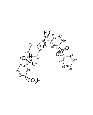 O=C(O)c1cccc(S(=O)(=O)N2CCC(CS(=O)(=O)c3cc(S(=O)(=O)c4ccccc4)ccc3C(F)(F)F)CC2)c1